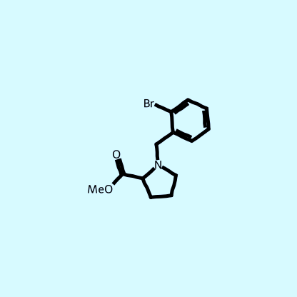 COC(=O)C1CCCN1Cc1ccccc1Br